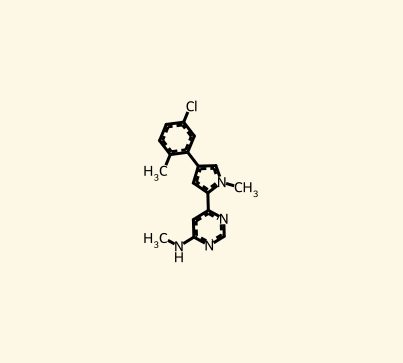 CNc1cc(-c2cc(-c3cc(Cl)ccc3C)cn2C)ncn1